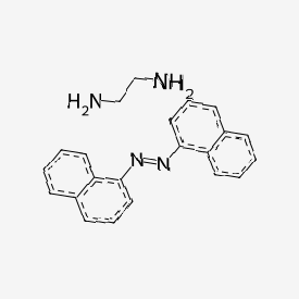 NCCN.c1ccc2c(N=Nc3cccc4ccccc34)cccc2c1